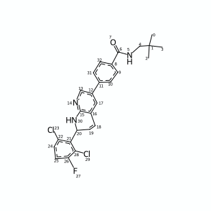 CC(C)(C)CNC(=O)c1ccc(-c2cnc3c(c2)C=CC(c2c(Cl)ccc(F)c2Cl)N3)cc1